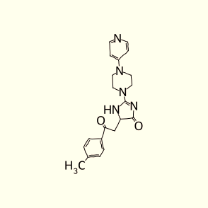 Cc1ccc(C(=O)CC2NC(N3CCN(c4ccncc4)CC3)=NC2=O)cc1